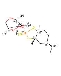 B[C@@H]1O[C@@]2(CC)CO[C@@H]1[C@@H]2O[P@@]1(=S)S[C@H]2C[C@H](C(=C)C)CC[C@]2(C)S1